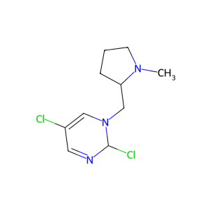 CN1CCCC1CN1C=C(Cl)C=NC1Cl